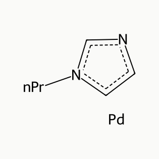 CCCn1ccnc1.[Pd]